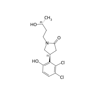 C[C@@H](O)CCN1C[C@H](c2c(O)ccc(Cl)c2Cl)CC1=O